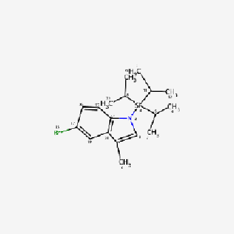 Cc1cn([Si](C(C)C)(C(C)C)C(C)C)c2ccc(Br)cc12